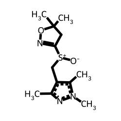 Cc1nn(C)c(C)c1C[S+]([O-])C1=NOC(C)(C)C1